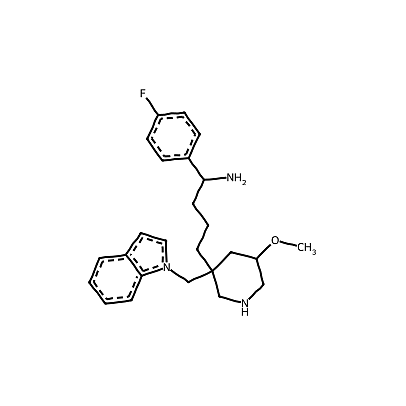 COC1CNCC(CCCC(N)c2ccc(F)cc2)(Cn2ccc3ccccc32)C1